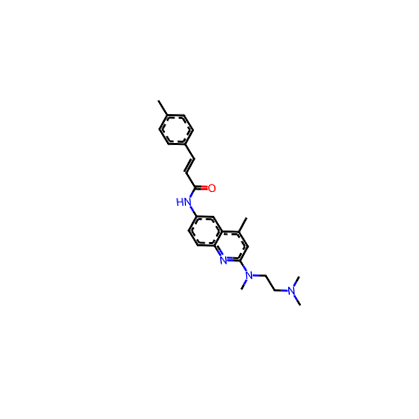 Cc1ccc(C=CC(=O)Nc2ccc3nc(N(C)CCN(C)C)cc(C)c3c2)cc1